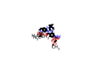 CCOC(=O)CS(=O)(=O)Nc1ccc(C(=O)Nc2ccc3c(c2)N(S(=O)(=O)C(C)(C)C)CC3)c(N2CCC3(CC2)CC3)c1